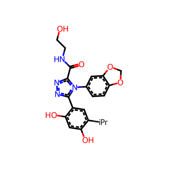 CC(C)c1cc(-c2nnc(C(=O)NCCO)n2-c2ccc3c(c2)OCO3)c(O)cc1O